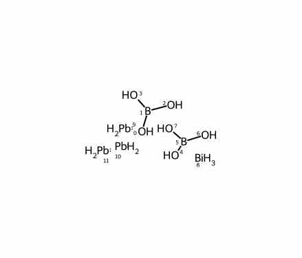 OB(O)O.OB(O)O.[BiH3].[PbH2].[PbH2].[PbH2]